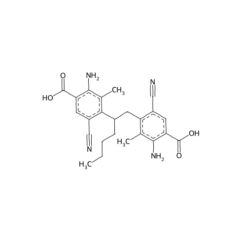 CCCCC(Cc1c(C#N)cc(C(=O)O)c(N)c1C)c1c(C#N)cc(C(=O)O)c(N)c1C